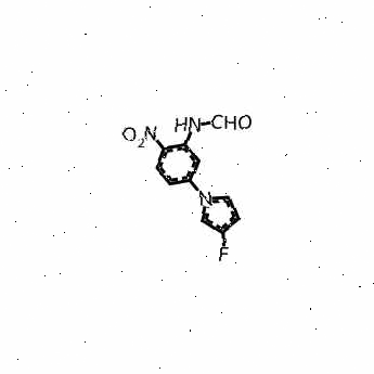 O=CNc1cc(-n2ccc(F)c2)ccc1[N+](=O)[O-]